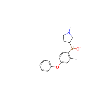 Cc1cc(Oc2ccccc2)ccc1[S+]([O-])C1CCN(C)C1